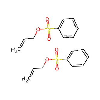 C=CCOS(=O)(=O)c1ccccc1.C=CCOS(=O)(=O)c1ccccc1